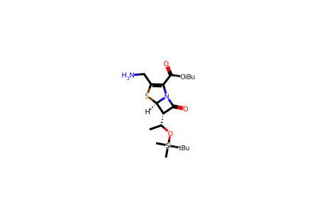 CC(C)COC(=O)C1=C(CN)S[C@@H]2[C@@H](C(C)O[Si](C)(C)C(C)(C)C)C(=O)N12